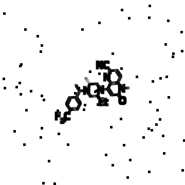 CC[C@H]1CN(C(C)c2ccc(C(F)(F)F)cc2)[C@H](C)CN1c1cc(=O)n(C)c2ccc(C#N)nc12